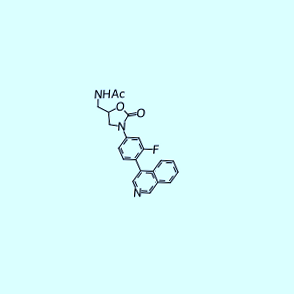 CC(=O)NCC1CN(c2ccc(-c3cncc4ccccc34)c(F)c2)C(=O)O1